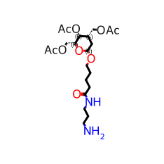 CC(=O)OC[C@@H]1C[C@H](OCCCCC(=O)NCCCN)O[C@H](COC(C)=O)[C@@H]1OC(C)=O